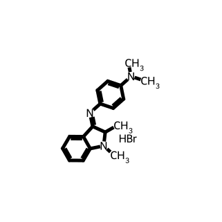 Br.CC1C(=Nc2ccc(N(C)C)cc2)c2ccccc2N1C